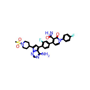 CS(=O)(=O)N1CCC(c2cc(-c3ccc(-c4ccn(-c5ccc(F)cc5)c(=O)c4C(N)=O)cc3F)c3c(N)ncnn23)CC1